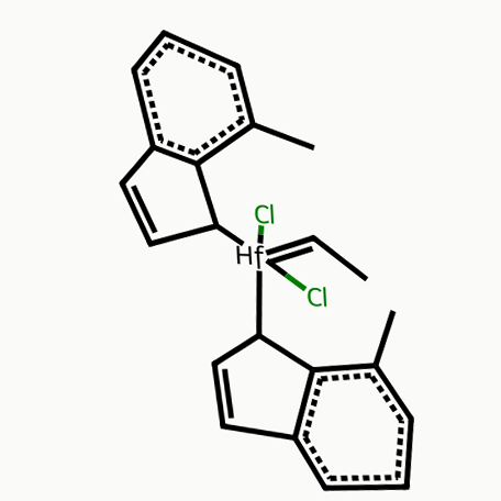 C[CH]=[Hf]([Cl])([Cl])([CH]1C=Cc2cccc(C)c21)[CH]1C=Cc2cccc(C)c21